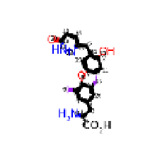 N[C@H](Cc1cc(I)c(Oc2ccc(O)c(Cc3ccc(=O)[nH]n3)c2)c(I)c1)C(=O)O